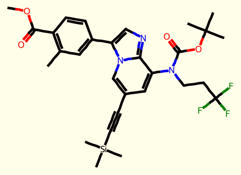 COC(=O)c1ccc(-c2cnc3c(N(CCC(F)(F)F)C(=O)OC(C)(C)C)cc(C#C[Si](C)(C)C)cn23)cc1C